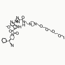 COc1cnc(-n2cnc(C(=O)NCCN3CCN(CCOCCOCCOCCOCI)CC3)n2)c2[nH]cc(C(=O)C(=O)N3CCC(=C(C#N)c4ccccc4)CC3)c12